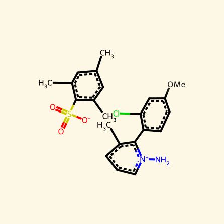 COc1ccc(-c2c(C)ccc[n+]2N)c(Cl)c1.Cc1cc(C)c(S(=O)(=O)[O-])c(C)c1